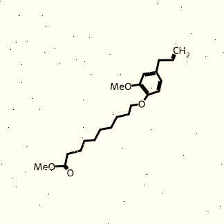 C=CCc1ccc(OCCCCCCCCCC(=O)OC)c(OC)c1